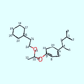 CC(C)CC(C)C1=CC=C(OC(C)OCCC2CCCCC2)CC1